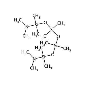 CN(C)[Si](C)(C)O[Si](C)(C)O[Si](C)(C)O[Si](C)(C)N(C)C